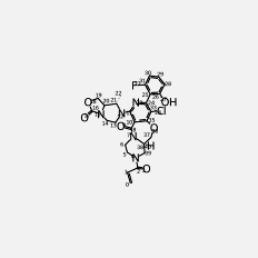 C=CC(=O)N1CCN2C(=O)c3c(N4CCN5C(=O)OCC5[C@@H]4C)nc(-c4c(O)cccc4F)c(Cl)c3OC[C@H]2C1